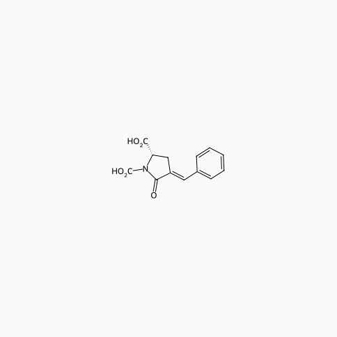 O=C(O)[C@@H]1C/C(=C\c2ccccc2)C(=O)N1C(=O)O